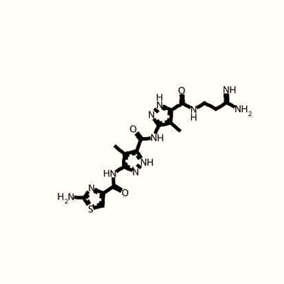 Cc1c(NC(=O)c2csc(N)n2)n[nH]c1C(=O)Nc1n[nH]c(C(=O)NCCC(=N)N)c1C